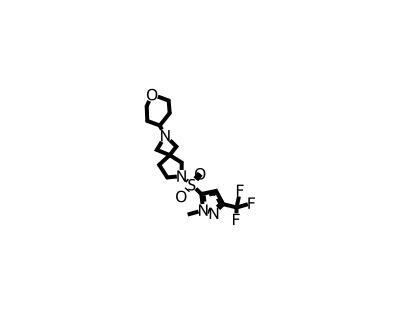 Cn1nc(C(F)(F)F)cc1S(=O)(=O)N1CCC2(CN(C3CCOCC3)C2)C1